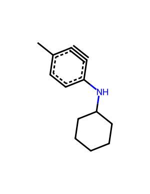 Cc1c#cc(NC2CCCCC2)cc1